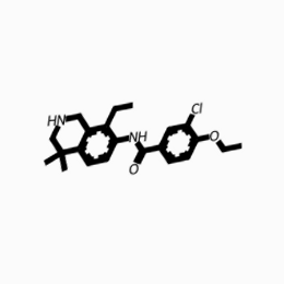 CCOc1ccc(C(=O)Nc2ccc3c(c2CC)CNCC3(C)C)cc1Cl